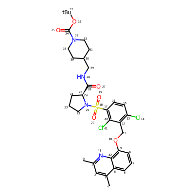 Cc1cc(C)c2cccc(OCc3c(Cl)ccc(S(=O)(=O)N4CCC[C@H]4C(=O)NCC4CCN(C(=O)OC(C)(C)C)CC4)c3Cl)c2n1